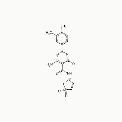 Cc1ccc(-c2cc(N)c(C(=O)N[C@@H]3C=CS(=O)(=O)C3)[n+]([O-])c2)cc1C